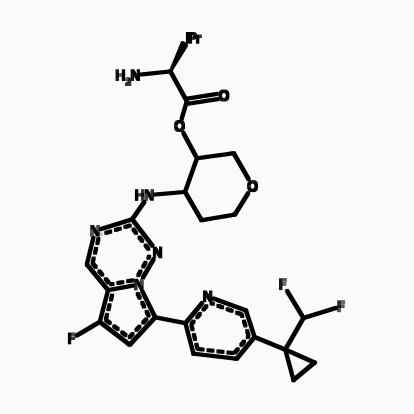 CC(C)[C@H](N)C(=O)OC1COCCC1Nc1ncc2c(F)cc(-c3ccc(C4(C(F)F)CC4)cn3)n2n1